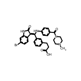 CN1CCN(C(=O)c2ccc(N/C(=C3\C(=O)Nc4cc(Br)ccc43)c3cccc(CCC(=O)O)c3)cc2)CC1